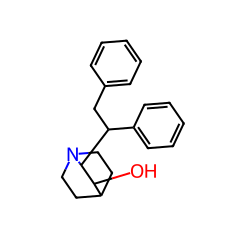 OC1C2CCN(CC2)C1C(Cc1ccccc1)c1ccccc1